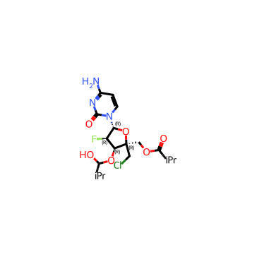 CC(C)C(=O)OC[C@@]1(CCl)O[C@@H](n2ccc(N)nc2=O)[C@H](F)[C@@H]1OC(O)C(C)C